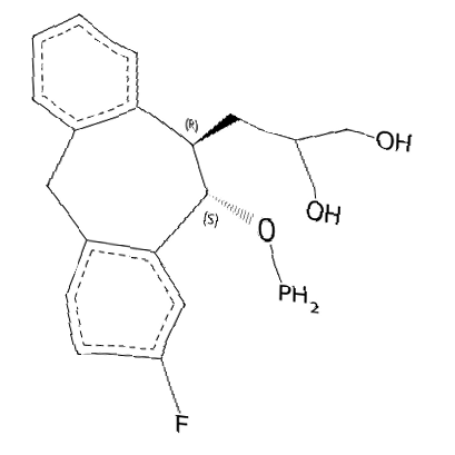 OCC(O)C[C@@H]1c2ccccc2Cc2ccc(F)cc2[C@H]1OP